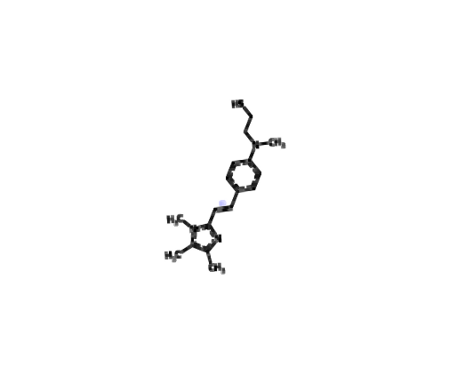 Cc1nc(/C=C/c2ccc(N(C)CCS)cc2)n(C)c1C